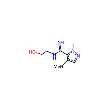 CNc1cnn(C)c1C(=N)NCCO